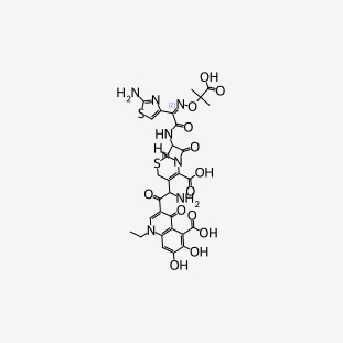 CCn1cc(C(=O)C(N)C2=C(C(=O)O)N3C(=O)C(NC(=O)/C(=N\OC(C)(C)C(=O)O)c4csc(N)n4)[C@H]3SC2)c(=O)c2c(C(=O)O)c(O)c(O)cc21